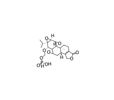 CC(C)[C@]12O[C@H]1[C@@H]1O[C@@]13[C@@]1(C)CCC4=C(COC4=O)[C@@H]1CC1O[C@@]13[C@@H]2OCO[PH](=O)O